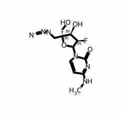 CNc1ccn(C2O[C@@](CO)(CN=[N+]=[N-])[C@@H](O)[C@H]2F)c(=O)n1